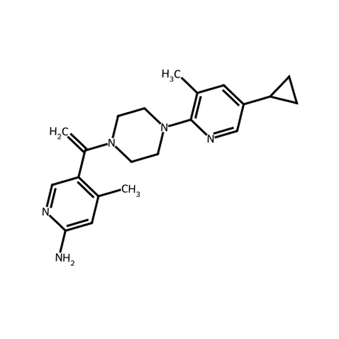 C=C(c1cnc(N)cc1C)N1CCN(c2ncc(C3CC3)cc2C)CC1